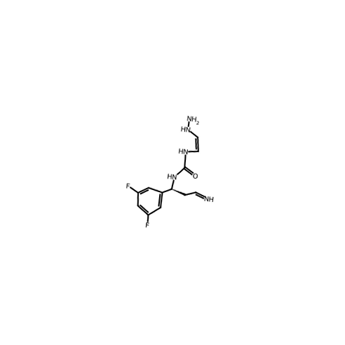 N=CC[C@H](NC(=O)N/C=C\NN)c1cc(F)cc(F)c1